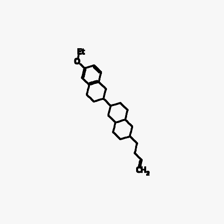 C=CCCC1CCC2CC(C3CCc4cc(OCC)ccc4C3)CCC2C1